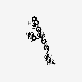 CCOC(=O)OC(C)OC(=O)CCN1CCN(C2CCN(C(=O)[C@@H](Cc3cc(C)c4c(c3)oc(=O)n4C)OC(=O)N3CCC(N4CCc5ccccc5NC4=O)CC3)CC2)CC1